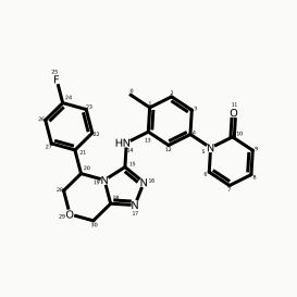 Cc1ccc(-n2ccccc2=O)cc1Nc1nnc2n1C(c1ccc(F)cc1)COC2